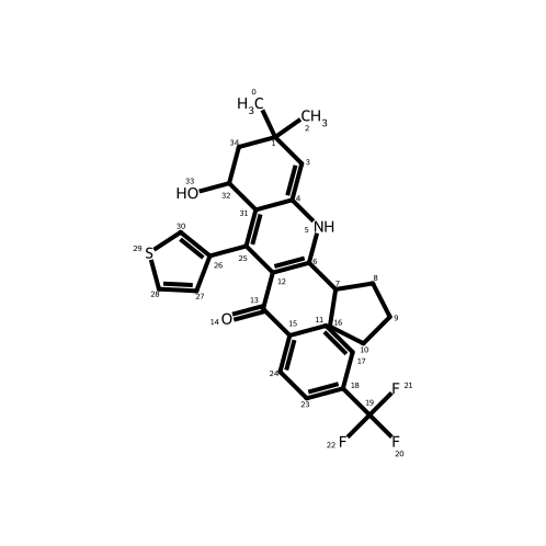 CC1(C)C=C2NC(C3CCCC3)=C(C(=O)c3ccc(C(F)(F)F)cc3)C(c3ccsc3)=C2C(O)C1